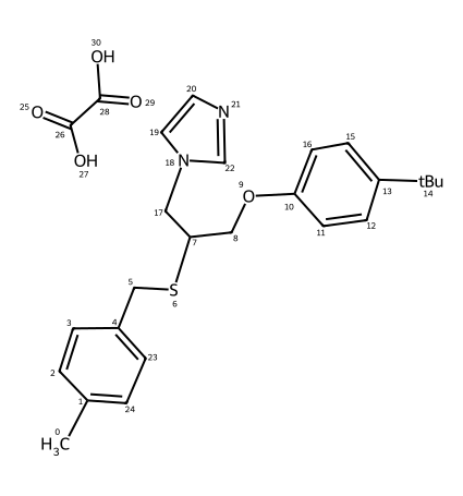 Cc1ccc(CSC(COc2ccc(C(C)(C)C)cc2)Cn2ccnc2)cc1.O=C(O)C(=O)O